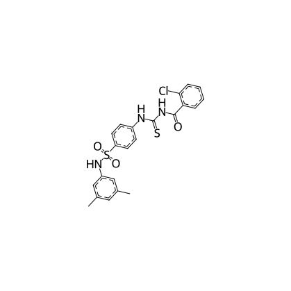 Cc1cc(C)cc(NS(=O)(=O)c2ccc(NC(=S)NC(=O)c3ccccc3Cl)cc2)c1